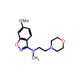 COc1ccc2c(N(C)CCN3CCOCC3)noc2c1